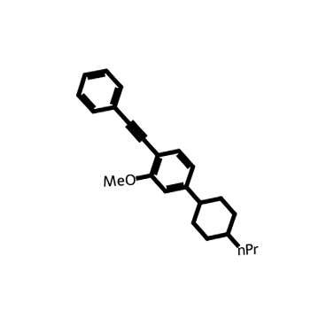 CCCC1CCC(c2ccc(C#Cc3ccccc3)c(OC)c2)CC1